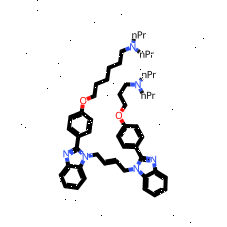 CCCN(CCC)CCCCCCOc1ccc(-c2nc3ccccc3n2C/C=C/Cn2c(-c3ccc(OCCCN(CCC)CCC)cc3)nc3ccccc32)cc1